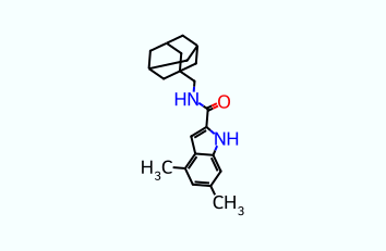 Cc1cc(C)c2cc(C(=O)NCC34CC5CC(CC(C5)C3)C4)[nH]c2c1